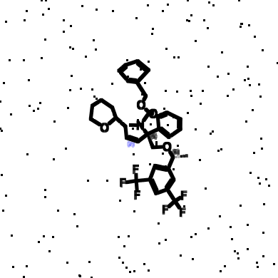 C[C@@H](OC[C@](/C=C\CC1CCCCO1)(c1ccccc1)N(C)C(=O)OCc1ccccc1)c1cc(C(F)(F)F)cc(C(F)(F)F)c1